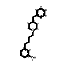 Oc1cccc(CCCCN2CCC(Cc3ccccc3)CC2)c1